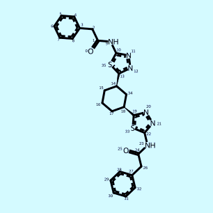 O=C(Cc1ccccc1)Nc1nnc([C@@H]2CCC[C@H](c3nnc(NC(=O)Cc4ccccc4)s3)C2)s1